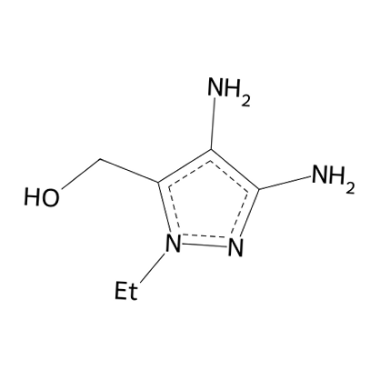 CCn1nc(N)c(N)c1CO